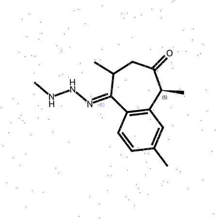 CNN/N=C1/c2ccc(C)cc2[C@H](C)C(=O)CC1C